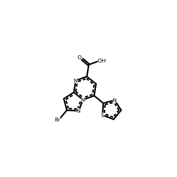 O=C(O)c1cc(-c2nccs2)n2nc(Br)cc2n1